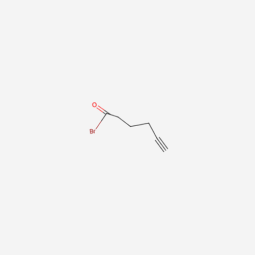 C#CCCCC(=O)Br